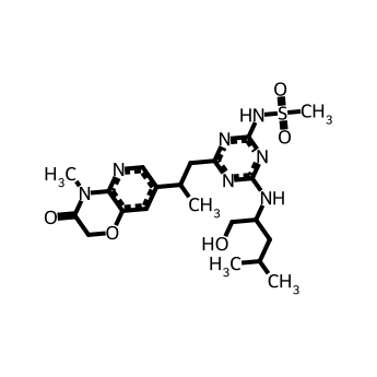 CC(C)CC(CO)Nc1nc(CC(C)c2cnc3c(c2)OCC(=O)N3C)nc(NS(C)(=O)=O)n1